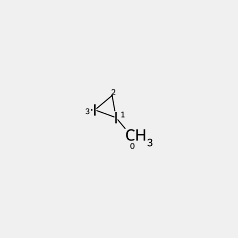 CI1C[I]1